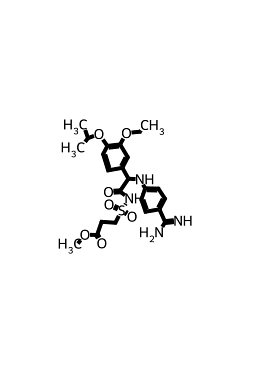 CCOc1cc(C(Nc2ccc(C(=N)N)cc2)C(=O)NS(=O)(=O)CCC(=O)OC)ccc1OC(C)C